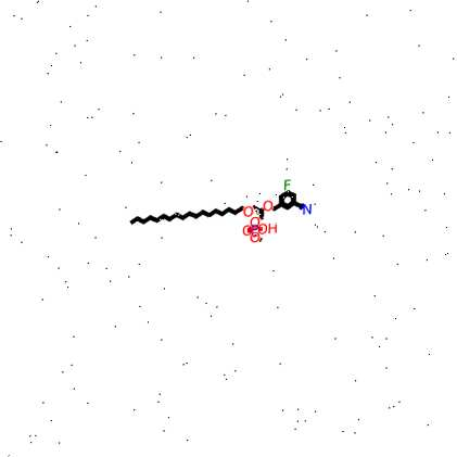 CCCCCCCCCCCCCCCCCCOC[C@H](COP(=O)(O)OC)OCc1cc(F)cc(C#N)c1